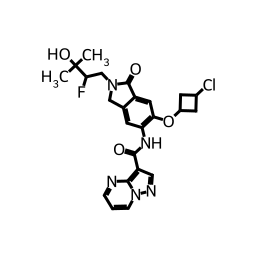 CC(C)(O)C(F)CN1Cc2cc(NC(=O)c3cnn4cccnc34)c(OC3CC(Cl)C3)cc2C1=O